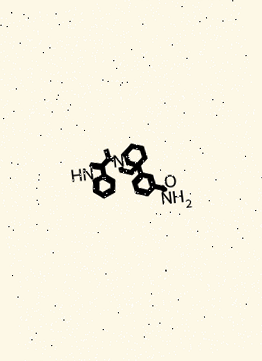 CC(c1c[nH]c2ccccc12)N1CCC2(c3cccc(C(N)=O)c3)CCCC1C2